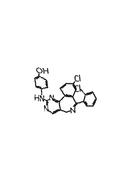 Oc1ccc(Nc2ncc3c(n2)-c2ccc(Cl)cc2C(c2ccccc2Cl)=NC3)cc1